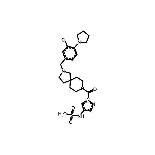 CS(=O)(=O)Nc1cnn(C(=O)N2CCC3(CCN(Cc4ccc(N5CCCC5)c(Cl)c4)C3)CC2)c1